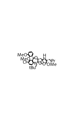 COC(=O)[C@@H](CC(C)C)NC(=O)C[C@H]1O[C@@H](c2cccc(OC)c2OC)c2cc(Cl)ccc2N(CC(C)(C)C)C1=O